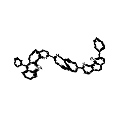 c1ccc(-c2ccc3ccc4ccc(-c5ccc6nc(-c7ccc8ccc9c(-c%10ccccc%10)c%10ccccc%10nc9c8n7)ccc6c5)nc4c3n2)cc1